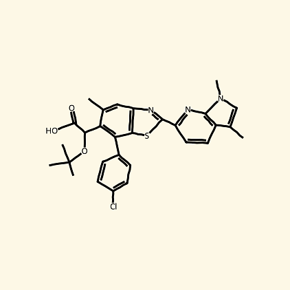 Cc1cc2nc(-c3ccc4c(C)cn(C)c4n3)sc2c(-c2ccc(Cl)cc2)c1C(OC(C)(C)C)C(=O)O